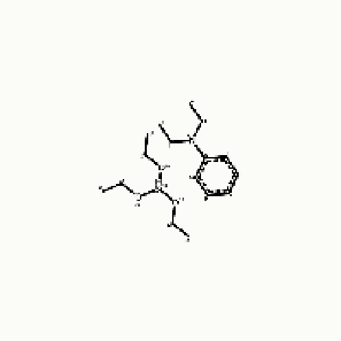 CCN(CC)c1ccccc1.CCO[SiH](OCC)OCC